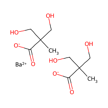 CC(CO)(CO)C(=O)[O-].CC(CO)(CO)C(=O)[O-].[Ba+2]